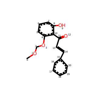 COCOc1cccc(O)c1C(=O)C=Cc1ccccc1